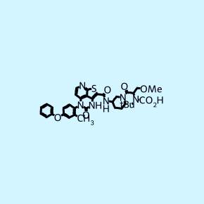 COCC(C(=O)N1CCCC(NC(=O)c2sc3nccc4c3c2NC(=O)N4c2ccc(Oc3ccccc3)cc2C)C1)N(C(=O)O)C(C)(C)C